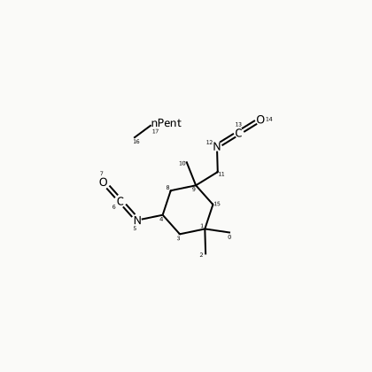 CC1(C)CC(N=C=O)CC(C)(CN=C=O)C1.CCCCCC